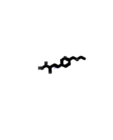 CCOCc1ccc(/C=C/C(=O)NO)cn1